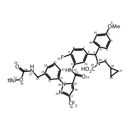 COc1ccc(C(c2ccc(F)c(NC(=O)c3cc(C(F)(F)F)nn3-c3cccc(CNC(=O)OC(C)(C)C)c3)c2)N(CC2CC2)C(=O)O)cc1